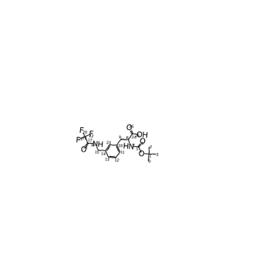 CC(C)(C)OC(=O)N[C@@H](Cc1cccc(CNC(=O)C(F)(F)F)c1)C(=O)O